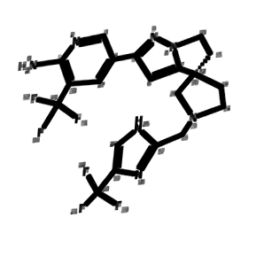 Nc1ncc(-c2cc3n(n2)CC[C@@]32CCN(Cc3nc(C(F)(F)F)c[nH]3)C2)cc1C(F)(F)F